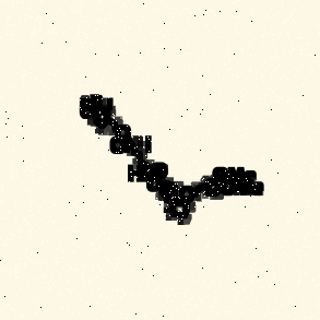 CCCCOc1ccc(CCOC(=O)NCCCCNC(=O)O[C@@H]2CCN([C@@H]3CCCC[C@H]3OCCc3ccc(OC)c(OC)c3)C2)cc1